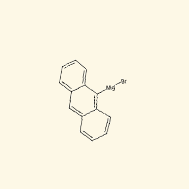 [Br][Mg][c]1c2ccccc2cc2ccccc12